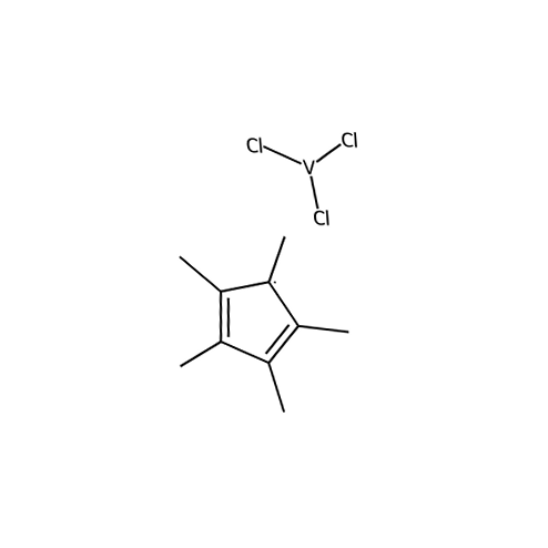 C[C]1C(C)=C(C)C(C)=C1C.[Cl][V]([Cl])[Cl]